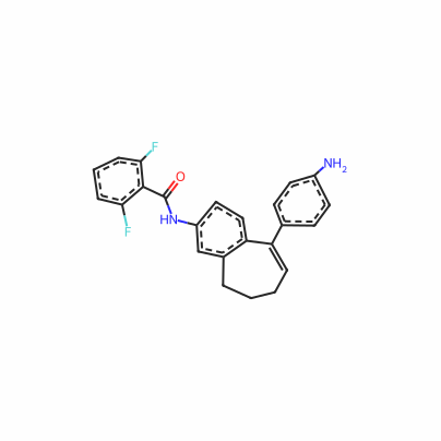 Nc1ccc(C2=CCCCc3cc(NC(=O)c4c(F)cccc4F)ccc32)cc1